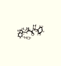 Cl.N[C@@H](Cc1c[nH]c2ccccc12)C(=O)Nc1ccccc1